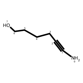 NC#CCCCCO